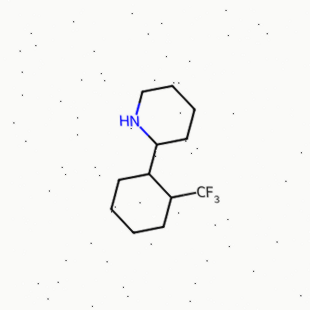 FC(F)(F)C1CCCCC1C1CCCCN1